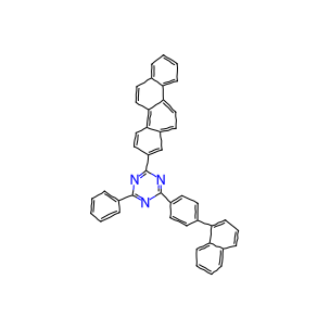 c1ccc(-c2nc(-c3ccc(-c4cccc5ccccc45)cc3)nc(-c3ccc4c(ccc5c6ccccc6ccc45)c3)n2)cc1